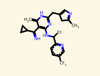 C=C1NC(CC2=CN=C(C)C2)=NC(NC(CC)c2ccc(C(F)(F)F)cn2)=C1C(=N)C1CC1